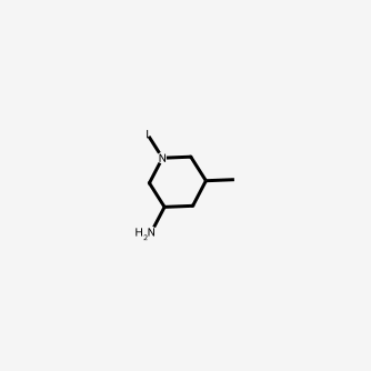 CC1CC(N)CN(I)C1